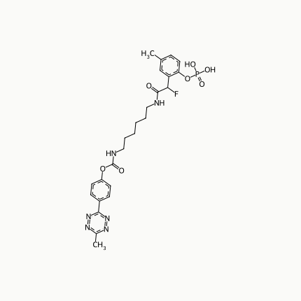 Cc1ccc(OP(=O)(O)O)c(C(F)C(=O)NCCCCCCNC(=O)Oc2ccc(-c3nnc(C)nn3)cc2)c1